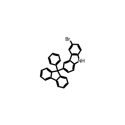 Brc1ccc2[nH]c3ccc(C4(c5ccccc5)c5ccccc5-c5ccccc54)cc3c2c1